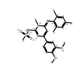 COc1ccc(-c2cc(=Nc3c(C)cc(C)cc3C)n(C)c(NS(C)(=O)=O)n2)cc1OC